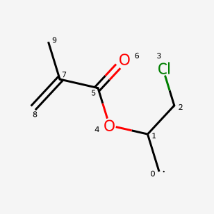 [CH2]C(CCl)OC(=O)C(=C)C